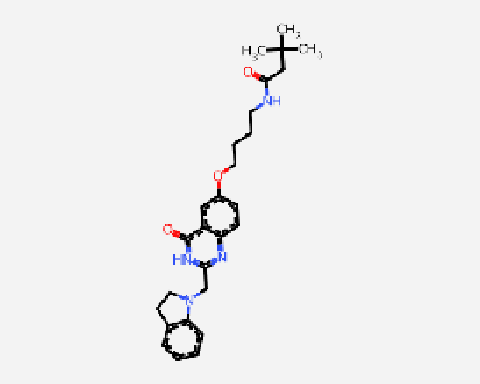 CC(C)(C)CC(=O)NCCCCOc1ccc2nc(CN3CCc4ccccc43)[nH]c(=O)c2c1